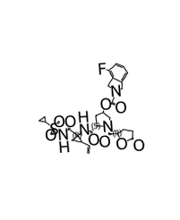 C=CC1C[C@]1(NC(=O)[C@@H]1CC(OC(=O)N2Cc3cccc(F)c3C2)CN1C(=O)[C@H]1CCC(=O)O1)C(=O)NS(=O)(=O)C1CC1